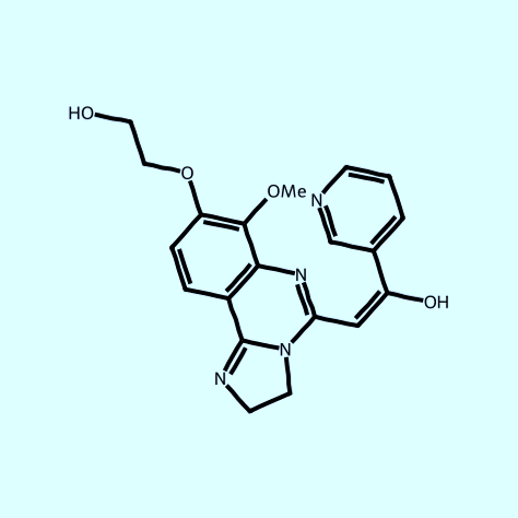 COc1c(OCCO)ccc2c1N=C(/C=C(/O)c1cccnc1)N1CCN=C21